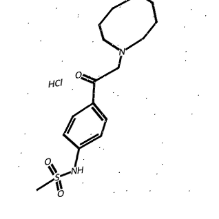 CS(=O)(=O)Nc1ccc(C(=O)CN2CCCCCCC2)cc1.Cl